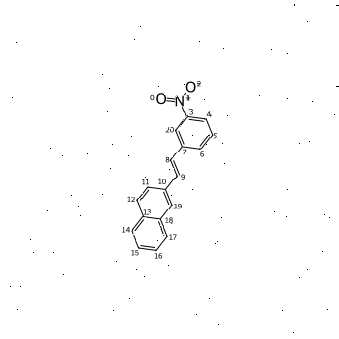 O=[N+]([O-])c1cccc(/C=C/c2ccc3ccccc3c2)c1